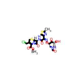 BOC(=O)C1=C(CCl)CS[C@@H]2[C@H](NC(=O)/C(=N\O[C@@H](CNC=O)C(=O)BO)c3csc(C)n3)C(=O)N12